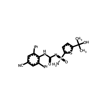 CC(C)c1cc(C#N)cc(C(C)C)c1NC(=O)N=[S@](N)(=O)c1ccc(C(C)(C)O)s1